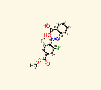 COC(=O)c1cc(F)c(/N=N/c2ccccc2B(O)O)c(F)c1